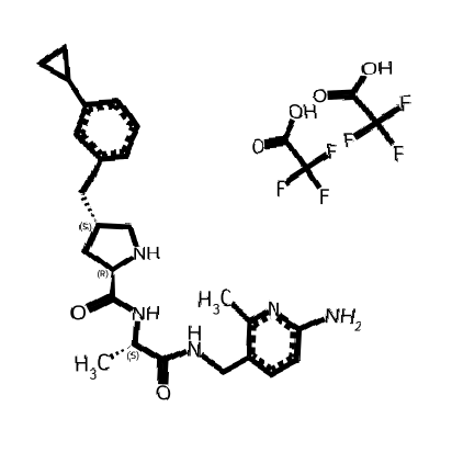 Cc1nc(N)ccc1CNC(=O)[C@H](C)NC(=O)[C@H]1C[C@H](Cc2cccc(C3CC3)c2)CN1.O=C(O)C(F)(F)F.O=C(O)C(F)(F)F